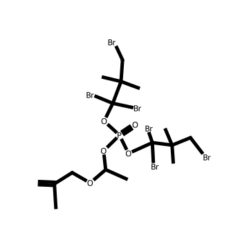 C=C(C)COC(C)OP(=O)(OC(Br)(Br)C(C)(C)CBr)OC(Br)(Br)C(C)(C)CBr